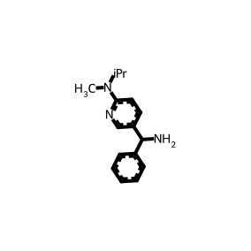 CC(C)N(C)c1ccc(C(N)c2ccccc2)cn1